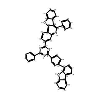 c1ccc(-c2nc(-c3ccc(-c4cccc5c4oc4ccccc45)cc3)nc(-c3ccc4c(c3)nc(-c3ccccc3)c3c5ccccc5oc43)n2)cc1